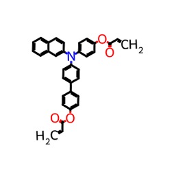 C=CC(=O)Oc1ccc(-c2ccc(N(c3ccc(OC(=O)C=C)cc3)c3ccc4ccccc4c3)cc2)cc1